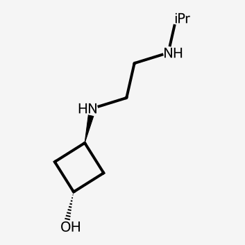 CC(C)NCCN[C@H]1C[C@H](O)C1